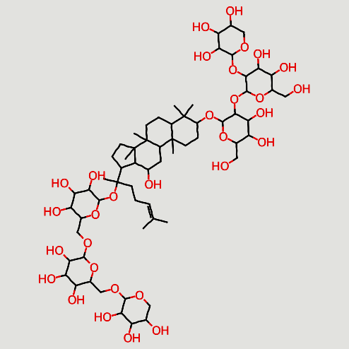 CC(C)=CCCC(C)(OC1OC(COC2OC(COC3OCC(O)C(O)C3O)C(O)C(O)C2O)C(O)C(O)C1O)C1CCC2(C)C1C(O)CC1C3(C)CCC(OC4OC(CO)C(O)C(O)C4OC4OC(CO)C(O)C(O)C4OC4OCC(O)C(O)C4O)C(C)(C)C3CCC12C